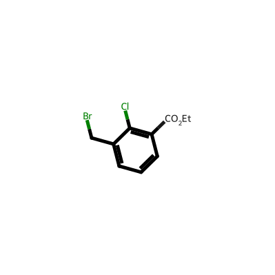 CCOC(=O)c1cccc(CBr)c1Cl